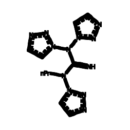 CCCN(C(=N)N(n1ccnn1)n1ccnn1)n1ccnn1